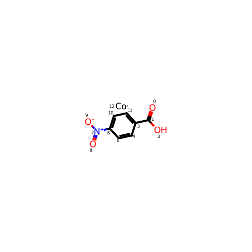 O=C(O)c1ccc([N+](=O)[O-])cc1.[Co]